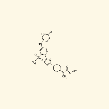 C=[N+](C(=O)OC(C)C)[C@H]1CC[C@H](c2ncc(-c3ccc(Nc4ccc(=O)[nH]c4)cc3S(=O)(=O)C3CC3)s2)CC1